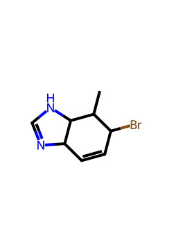 CC1C(Br)C=CC2N=CNC21